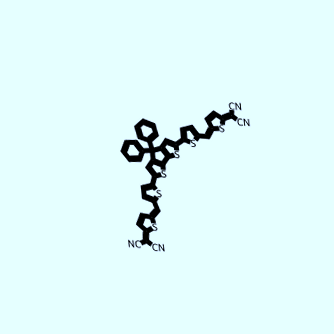 N#CC(C#N)=c1cc/c(=C\c2ccc(-c3cc4c(s3)-c3sc(-c5ccc(/C=c6\ccc(=C(C#N)C#N)s6)s5)cc3C4(c3ccccc3)c3ccccc3)s2)s1